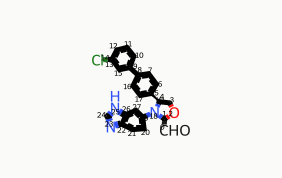 O=CC1OC[C@H](c2ccc(-c3cccc(Cl)c3)cc2)N1c1ccc2nc[nH]c2c1